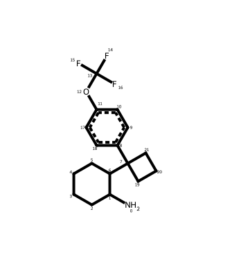 NC1CCCCC1C1(c2ccc(OC(F)(F)F)cc2)CCC1